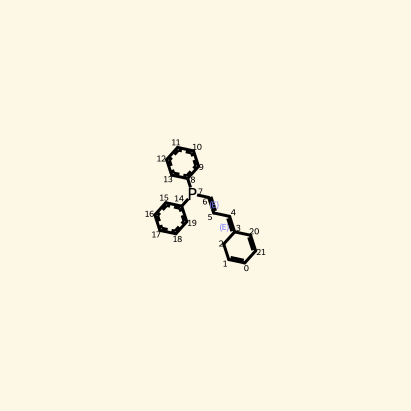 C1=CC/C(=C\C=C\P(c2ccccc2)c2ccccc2)C=C1